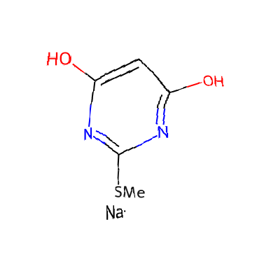 CSc1nc(O)cc(O)n1.[Na]